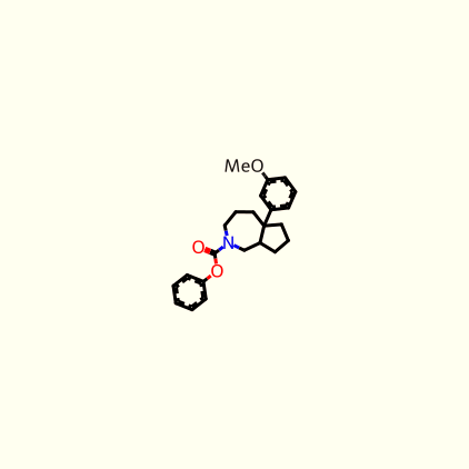 COc1cccc(C23CCCC2CN(C(=O)Oc2ccccc2)CCC3)c1